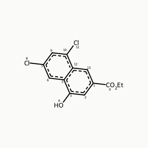 CCOC(=O)c1cc(O)c2cc(Cl)cc(Cl)c2c1